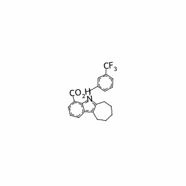 O=C(O)c1cccc2c3c(n(Cc4cccc(C(F)(F)F)c4)c12)CCCCC3